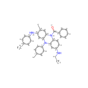 Cc1ccc(N2c3cc(NCC(F)(F)F)ccc3N(C(=O)c3ccccc3)c3cc(C)c(Nc4ccc(C(F)(F)F)cc4)cc32)cc1